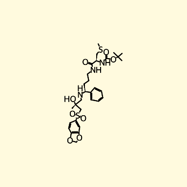 CSC[C@@H](NC(=O)OC(C)(C)C)C(=O)NCCC[C@H](NC[C@@](C)(O)CS(=O)(=O)c1ccc2c(c1)OCO2)c1ccccc1